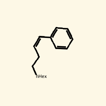 CCCCCCCC/C=[C]\c1ccccc1